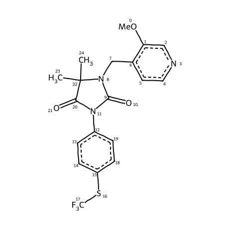 COc1cnccc1CN1C(=O)N(c2ccc(SC(F)(F)F)cc2)C(=O)C1(C)C